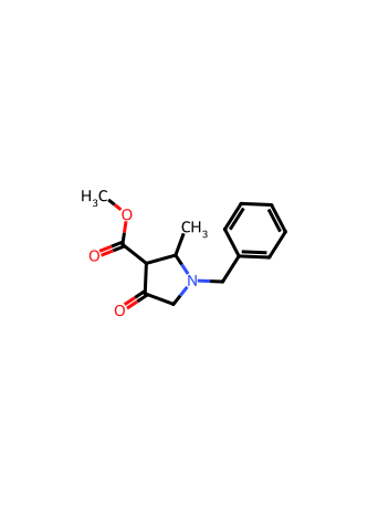 COC(=O)C1C(=O)CN(Cc2ccccc2)C1C